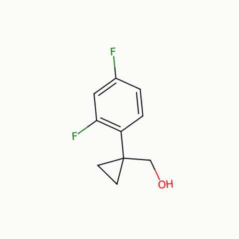 OCC1(c2ccc(F)cc2F)CC1